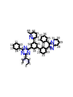 C/C=C\C(=C/C)c1nc(-c2ccccc2)nc(-c2cc(-c3cccc(-c4nc5ccccn5c4-c4ccccc4)c3)cc(-c3cccc(C)n3)c2)n1